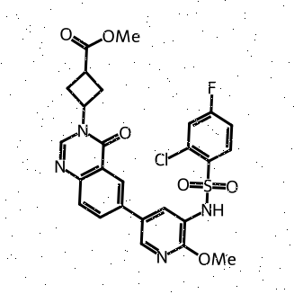 COC(=O)C1CC(n2cnc3ccc(-c4cnc(OC)c(NS(=O)(=O)c5ccc(F)cc5Cl)c4)cc3c2=O)C1